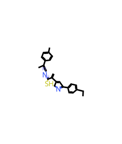 C=C(C1=CC(c2ccc(CC)cc2)=NC1)/C(S)=N\C=C(/C)c1ccc(C)cc1